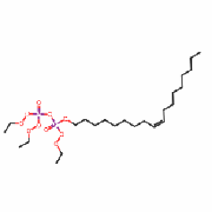 CCCCCCCC/C=C\CCCCCCCCOP(=O)(OOCC)OP(=O)(OOCC)OOCC